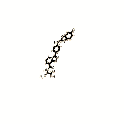 C[C@@H](NC(=O)c1cccn2c(-c3ccc(Nc4nc5ccc(Cl)cc5s4)cc3)nnc12)C(=O)O